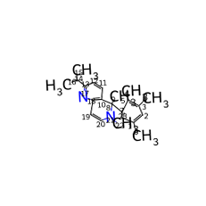 Cc1cc(C)c(C)c(C2(C)c3ccc(C(C)C)nc3C=CN2C)c1